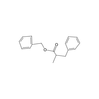 CC(Cc1ccccc1)C(=O)OCc1ccccc1